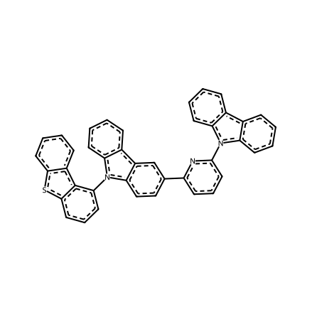 c1cc(-c2ccc3c(c2)c2ccccc2n3-c2cccc3sc4ccccc4c23)nc(-n2c3ccccc3c3ccccc32)c1